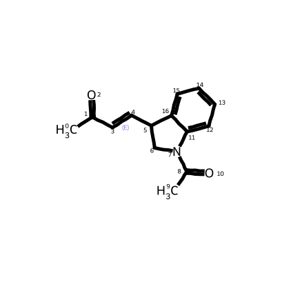 CC(=O)/C=C/C1CN(C(C)=O)c2ccccc21